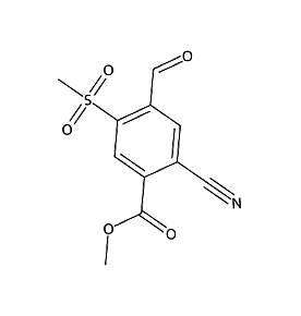 COC(=O)c1cc(S(C)(=O)=O)c(C=O)cc1C#N